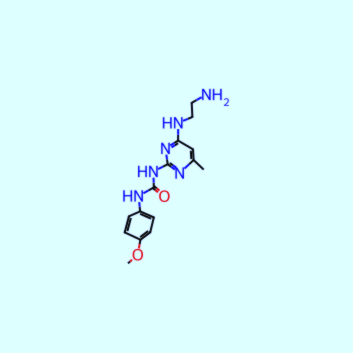 COc1ccc(NC(=O)Nc2nc(C)cc(NCCN)n2)cc1